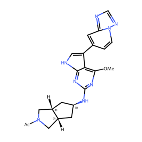 COc1nc(N[C@H]2C[C@@H]3CN(C(C)=O)C[C@@H]3C2)nc2[nH]cc(-c3ccn4ncnc4c3)c12